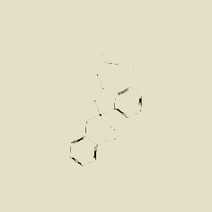 CN(C)CCCC(C#N)(Cc1ccccc1O)c1ccccc1